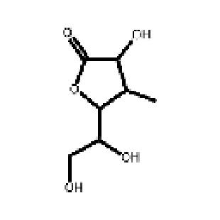 CC1C(O)C(=O)OC1C(O)CO